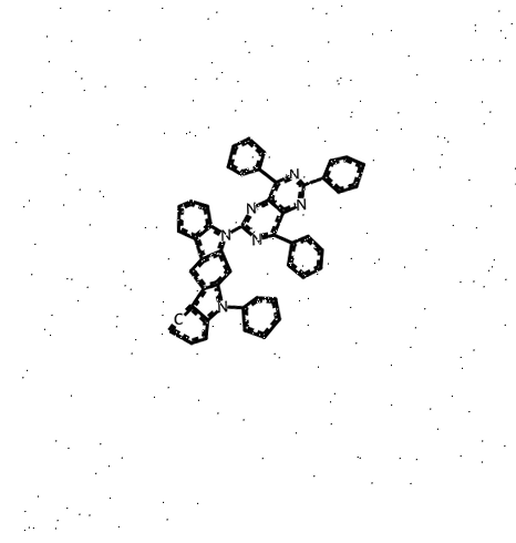 c1ccc(-c2nc(-c3ccccc3)c3nc(-n4c5ccccc5c5cc6c7ccccc7n(-c7ccccc7)c6cc54)nc(-c4ccccc4)c3n2)cc1